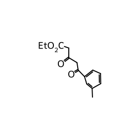 CCOC(=O)CC(=O)CC(=O)c1cccc(C)c1